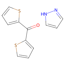 O=C(c1cccs1)c1cccs1.c1cn[nH]c1